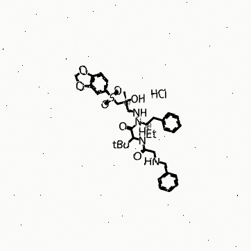 CC[C@@H](Cc1ccccc1)N(NC[C@@](C)(O)CS(=O)(=O)c1ccc2c(c1)OCO2)C(=O)C(NC(=O)CNCc1ccccc1)C(C)(C)C.Cl